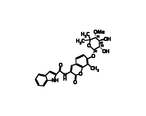 CO[C@@H]1[C@@H](O)[C@H](O)[C@H](Oc2ccc3cc(NC(=O)c4cc5ccccc5[nH]4)c(=O)oc3c2C)OC1(C)C